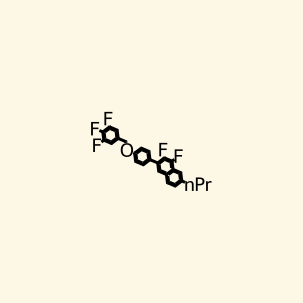 CCCc1ccc2cc(-c3ccc(OCc4cc(F)c(F)c(F)c4)cc3)c(F)c(F)c2c1